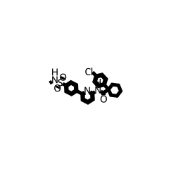 CNS(=O)(=O)c1ccc(-c2cccc(NC(=O)C3(c4ccc(Cl)cc4)CCCCC3)n2)cc1